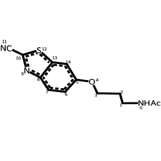 CC(=O)NCCCOc1ccc2nc(C#N)sc2c1